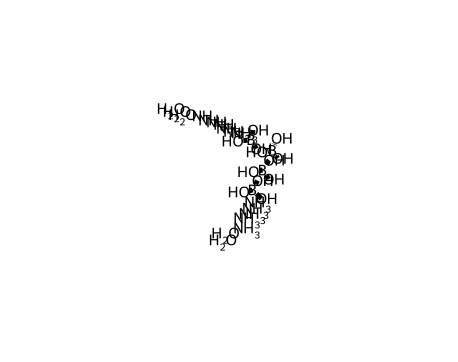 N.N.N.N.N.N.N.N.N.N.N.N.O.O.O.O.O.OB(O)O.OB(O)O.OB(O)O.OB(O)O